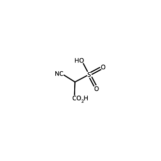 N#CC(C(=O)O)S(=O)(=O)O